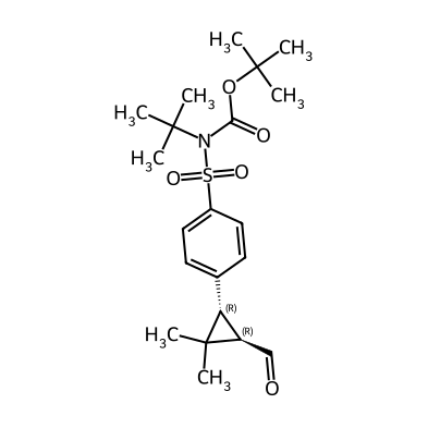 CC(C)(C)OC(=O)N(C(C)(C)C)S(=O)(=O)c1ccc([C@@H]2[C@@H](C=O)C2(C)C)cc1